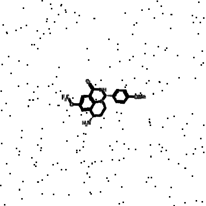 COc1ccc([C@H]2NC(=O)c3cc(OC(F)(F)F)cc4c3N2CC[C@@H]4N)cc1